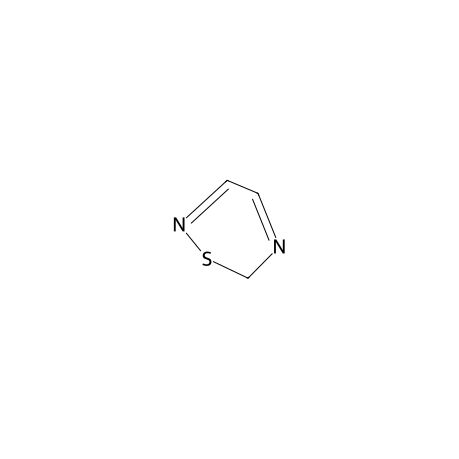 C1=NCSN=C1